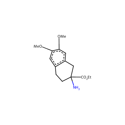 CCOC(=O)C1(N)CCc2cc(OC)c(OC)cc2C1